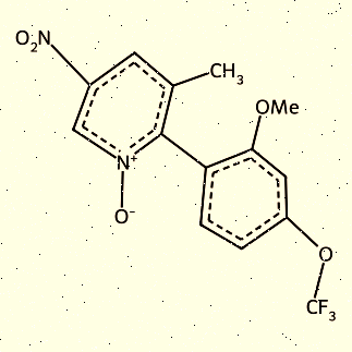 COc1cc(OC(F)(F)F)ccc1-c1c(C)cc([N+](=O)[O-])c[n+]1[O-]